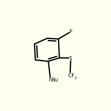 [CH2]CCCc1cccc(F)c1SC(F)(F)F